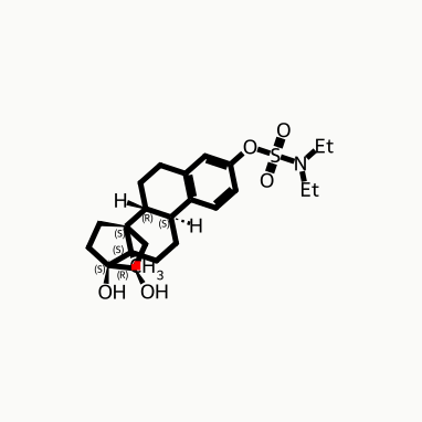 CCN(CC)S(=O)(=O)Oc1ccc2c(c1)CC[C@@H]1[C@@H]2CC[C@@]2(C)[C@]13CC[C@@]2(O)[C@H](O)C3